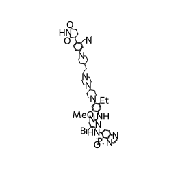 C=NCc1cc(N2CCC(CCN3CCN(C4CCN(c5cc(OC)c(Nc6ncc(Br)c(Nc7ccc8nccnc8c7P(C)(C)=O)n6)cc5CC)CC4)CC3)CC2)ccc1C1CCC(=O)NC1=O